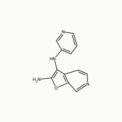 Nc1oc2cnccc2c1Nc1cccnc1